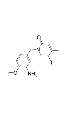 COc1ccc(Cn2cc(I)c(C)cc2=O)cc1N